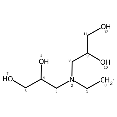 [CH2]CN(CC(O)CO)CC(O)CO